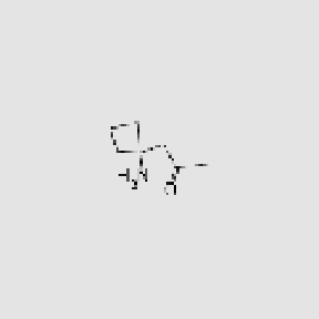 CC(=O)CC1(N)CCC1